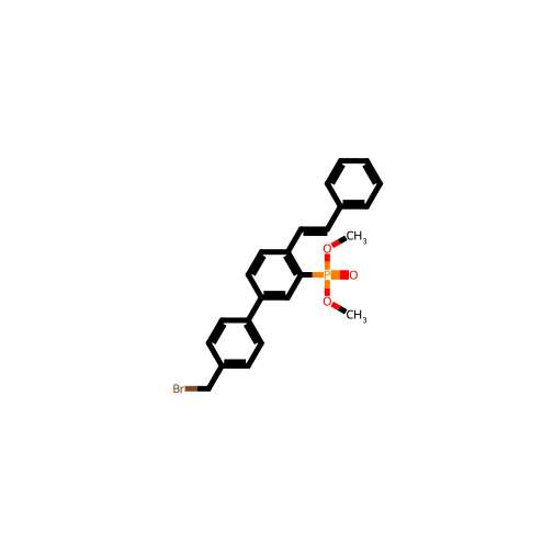 COP(=O)(OC)c1cc(-c2ccc(CBr)cc2)ccc1C=Cc1ccccc1